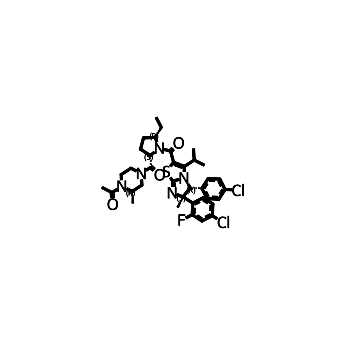 CC[C@@H]1CC[C@@H](C(=O)N2CCN(C(C)=O)[C@H](C)C2)N1C(=O)C1=C(C(C)C)N2C(=N[C@@](C)(c3ccc(Cl)cc3F)[C@H]2c2ccc(Cl)cc2)S1